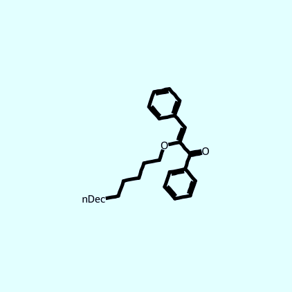 CCCCCCCCCCCCCCCOC(=Cc1ccccc1)C(=O)c1ccccc1